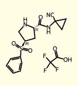 N#CC1(NC(=O)[C@@H]2C[C@@H](S(=O)(=O)c3ccccc3)CN2)CC1.O=C(O)C(F)(F)F